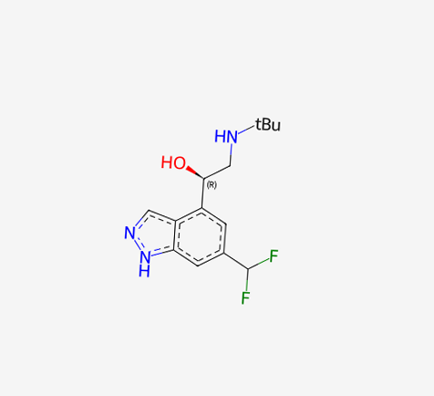 CC(C)(C)NC[C@H](O)c1cc(C(F)F)cc2[nH]ncc12